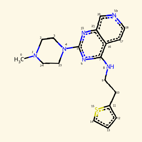 CN1CCN(c2nc(NCCc3cccs3)c3ccncc3n2)CC1